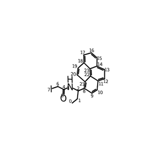 CCC(NC(=O)CI)c1ccc2ccc3cccc4ccc1c2c34